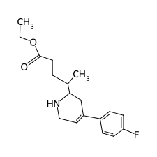 CCOC(=O)CCC(C)C1CC(c2ccc(F)cc2)=CCN1